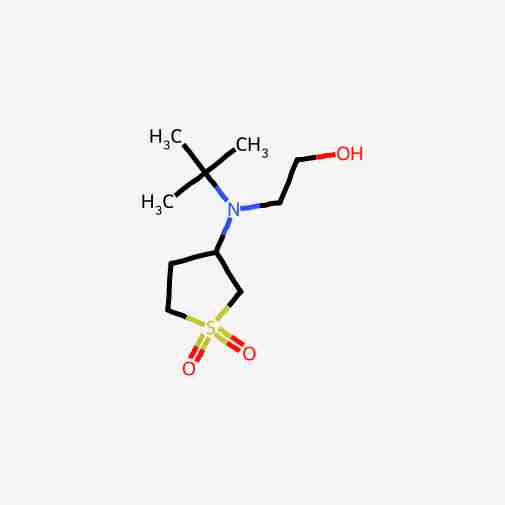 CC(C)(C)N(CCO)C1CCS(=O)(=O)C1